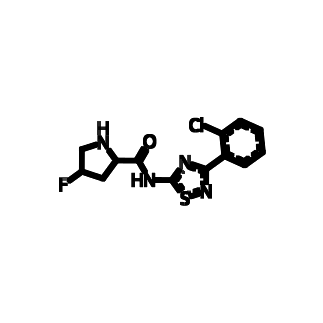 O=C(Nc1nc(-c2ccccc2Cl)ns1)C1CC(F)CN1